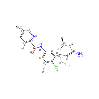 Cc1cc(C#N)cnc1C(=O)Nc1cc(F)c(Cl)c([C@@]2(CF)C[C@@H](C)OC(N)=N2)c1